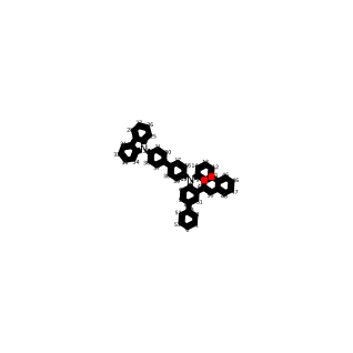 c1ccc(-c2ccc(N(c3ccccc3)c3ccc(-c4ccc(-n5c6ccccc6c6ccccc65)cc4)cc3)c(-c3ccc4ccccc4c3)c2)cc1